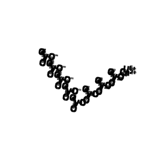 [Ca+2].[O]=[V](=[O])[O-].[O]=[V](=[O])[O-].[O]=[V](=[O])[O-].[O]=[V](=[O])[O-].[O]=[V](=[O])[O-].[O]=[V](=[O])[O-].[O]=[V](=[O])[O-].[O]=[V](=[O])[O-].[U+6]